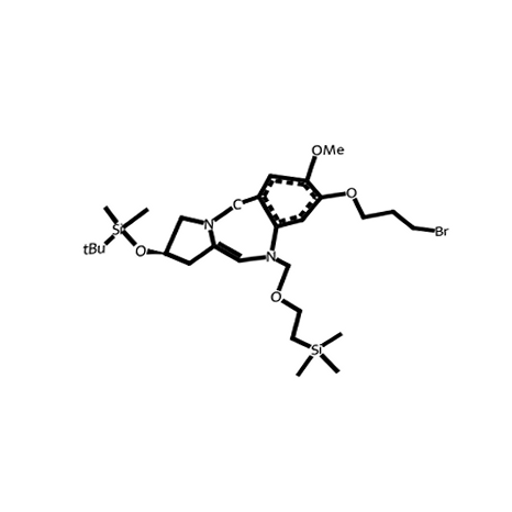 COc1cc2c(cc1OCCCBr)N(COCC[Si](C)(C)C)C=C1C[C@@H](O[Si](C)(C)C(C)(C)C)CN1C2